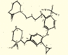 O=C1CCCCN1CCCNc1cc(Nc2ccc(CC3CNCCS3(=O)=O)cc2C2CC2)ncc1C(F)(F)F